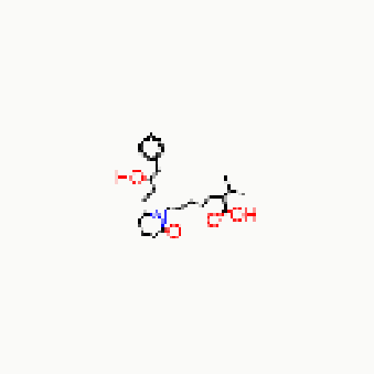 CC(C)C(CCCCCN1C(=O)CCC[C@@H]1CC[C@@H](O)Cc1ccccc1)C(=O)O